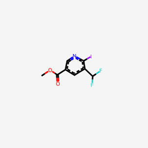 COC(=O)c1cnc(I)c(C(F)F)c1